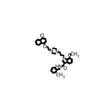 COc1cccc2c(C(=O)NCc3ccccc3C)cn(CCCN3CCN(CCOc4ccc(Cl)c5ccccc45)CC3)c12